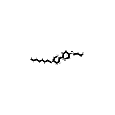 CCCCCCCC[C@H]1CC[C@H]([C@H]2CC[C@H](OCCCC)CC2)CC1